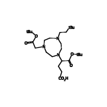 CC(C)(C)CCN1CCN(CC(=O)OC(C)(C)C)CCN(C(CCC(=O)O)C(=O)OC(C)(C)C)CC1